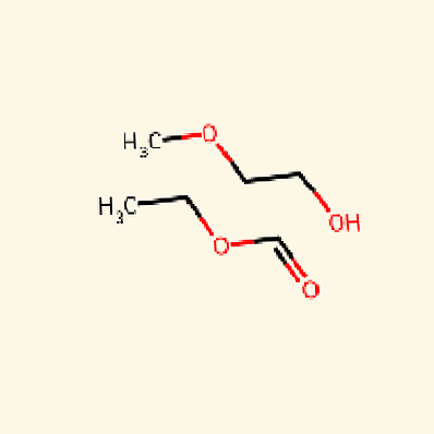 CCOC=O.COCCO